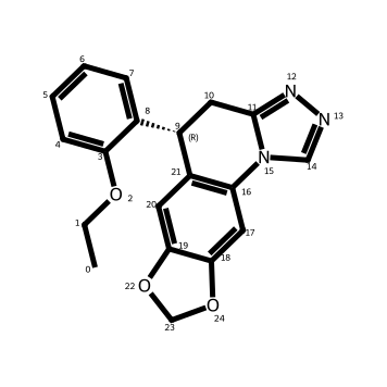 CCOc1ccccc1[C@@H]1Cc2nncn2-c2cc3c(cc21)OCO3